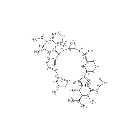 CCn1c(-c2cccnc2[C@H](C)OC)c2c3cc(ccc31)-c1cc(O)cc(c1)C[C@H](NC(=O)[C@H](C(C)C)N(C)C(=O)OC1CC1)C(=O)N1CCC[C@H](N1)C(=O)OCC(C)(C)C2